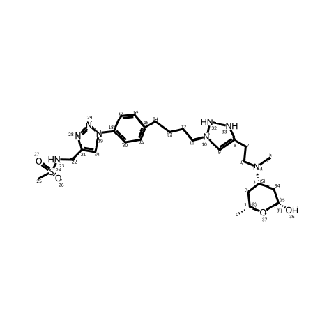 C[C@@H]1C[C@H](N(C)CCC2=CN(CCCCc3ccc(-n4cc(CNS(C)(=O)=O)nn4)cc3)NN2)C[C@H](O)O1